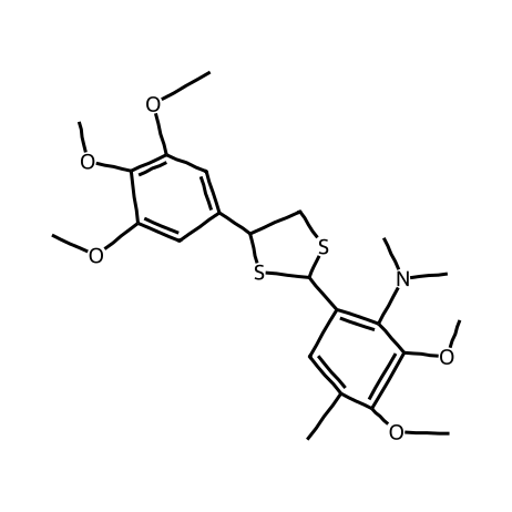 COc1cc(C2CSC(c3cc(C)c(OC)c(OC)c3N(C)C)S2)cc(OC)c1OC